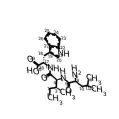 CC[C@H](C)[C@H](NC(=O)[C@@H](N)CC(C)C)C(=O)N[C@@H](Cc1c[nH]c2ccccc12)C(=O)O